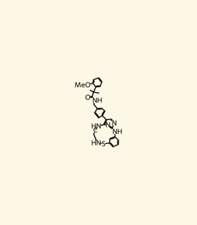 COc1ccccc1C(C)(C)C(=O)NCc1ccc(-c2cnc3nc2NCCCNSc2cccc(c2)N3)cc1